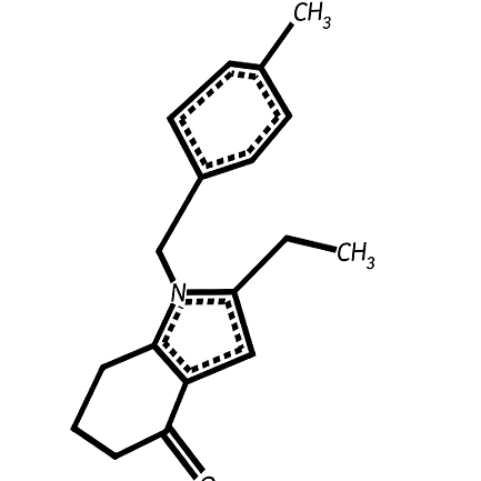 CCc1cc2c(n1Cc1ccc(C)cc1)CCCC2=O